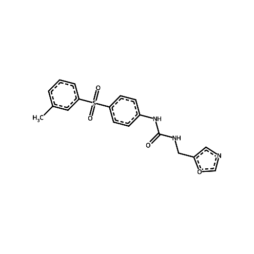 Cc1cccc(S(=O)(=O)c2ccc(NC(=O)NCc3cnco3)cc2)c1